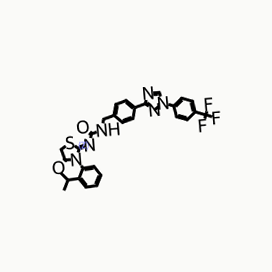 CC(C)c1ccccc1N1C(=O)CS/C1=N\C(=O)NCc1ccc(-c2ncn(-c3ccc(C(F)(F)F)cc3)n2)cc1